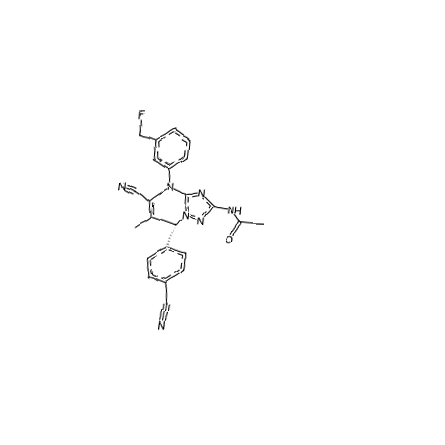 CC(=O)Nc1nc2n(n1)[C@H](c1ccc(C#N)cc1)C(C)=C(C#N)N2c1cccc(CF)c1